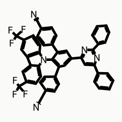 N#Cc1ccc(-c2cc(-c3cc(-c4ccccc4)nc(-c4ccccc4)n3)cc(-c3ccc(C#N)cc3)c2-n2c3ccc(C(F)(F)F)cc3c3cc(C(F)(F)F)ccc32)cc1